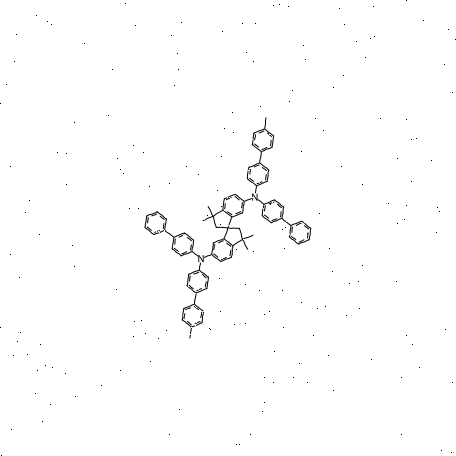 Cc1ccc(-c2ccc(N(c3ccc(-c4ccccc4)cc3)c3ccc4c(c3)C3(CC4(C)C)CC(C)(C)c4ccc(N(c5ccc(-c6ccccc6)cc5)c5ccc(-c6ccc(C)cc6)cc5)cc43)cc2)cc1